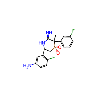 C[C@@]1(c2cc(N)ccc2F)CS(=O)(=O)[C@@](C)(c2cccc(F)c2)C(=N)N1